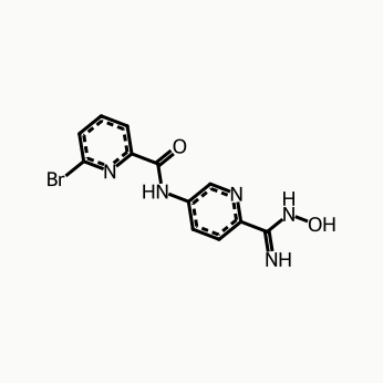 N=C(NO)c1ccc(NC(=O)c2cccc(Br)n2)cn1